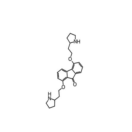 O=C1c2cccc(OCCC3CCCN3)c2-c2cccc(OCCC3CCCN3)c21